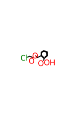 O=C(CCl)OCc1ccccc1C(=O)O